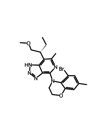 CC[C@@H](COC)c1c(C)nc(N2CCOc3cc(C)cc(Br)c32)c2nn[nH]c12